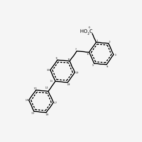 O=C(O)c1ccccc1Cc1ccc(-c2ccccc2)cc1